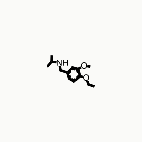 CCOc1ccc(CNC(C)C)cc1OC